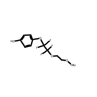 CCCCOCCOC(F)(F)C(F)(F)Oc1ccc(O)cc1